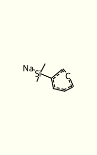 C[Si](C)([Na])c1ccccc1